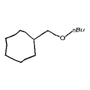 CCCCOCC1CCCCC1